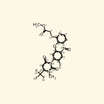 COC(=O)CSc1ncccc1Oc1cc(-n2c(=O)cc(C(F)(F)F)n(C)c2=O)c(F)cc1N=O